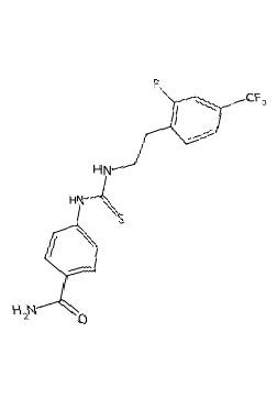 NC(=O)c1ccc(NC(=S)NCCc2ccc(C(F)(F)F)cc2F)cc1